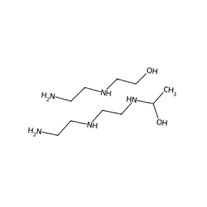 CC(O)NCCNCCN.NCCNCCO